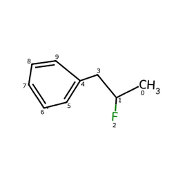 CC(F)Cc1c[c]ccc1